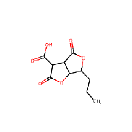 CCCC1OC(=O)C2C(C(=O)O)C(=O)OC12